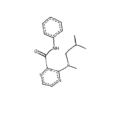 CC(C)CN(C)c1nccnc1C(=O)Nc1ccccc1